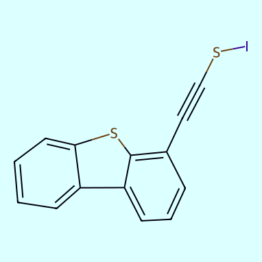 ISC#Cc1cccc2c1sc1ccccc12